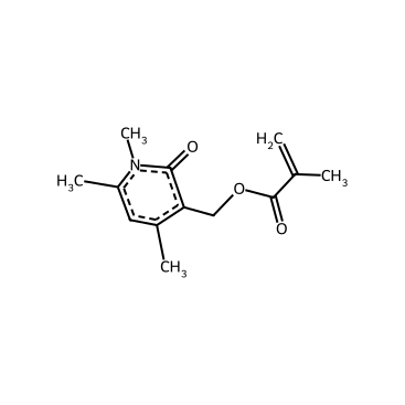 C=C(C)C(=O)OCc1c(C)cc(C)n(C)c1=O